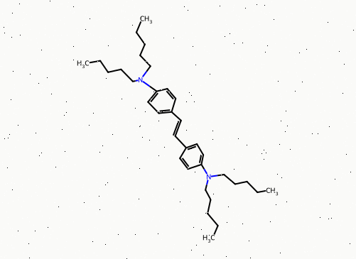 CCCCCN(CCCCC)c1ccc(/C=C/c2ccc(N(CCCCC)CCCCC)cc2)cc1